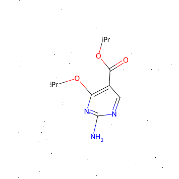 CC(C)OC(=O)c1cnc(N)nc1OC(C)C